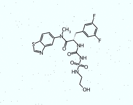 CN(C(=O)[C@H](Cc1cc(F)cc(F)c1)NC(=O)NS(=O)(=O)NCCO)c1ccc2scnc2c1